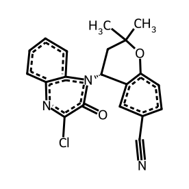 CC1(C)C[C@@H](n2c(=O)c(Cl)nc3ccccc32)c2cc(C#N)ccc2O1